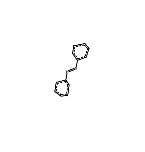 [c]1cc[c]c(/N=N/c2[c]cc[c]c2)c1